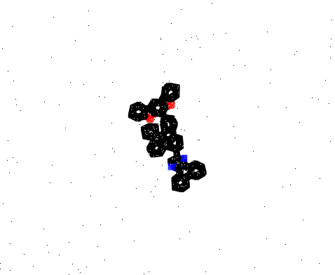 c1ccc(C2(c3ccccc3)c3cc(-c4cnc5c6ccccc6c6ccccc6c5n4)ccc3-c3ccc(-c4c5oc6ccccc6c5cc5c4oc4ccccc45)cc32)cc1